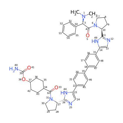 CN(C)[C@@H](C(=O)N1CCC[C@H]1c1ncc(-c2ccc(-c3ccc(-c4cnc([C@@H]5CCCN5C(=O)C5CCC(OC(N)=O)CC5)[nH]4)cc3)cc2)[nH]1)c1ccccc1